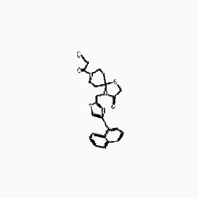 O=C(CCl)N1CCC2(CC1)SCC(=O)N2Cc1nc(-c2cccc3ccccc23)cs1